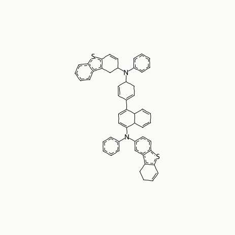 C1=CC2C(C3=CCC(N(c4ccccc4)C4C=Cc5sc6ccccc6c5C4)C=C3)=CC=C(N(c3ccccc3)c3ccc4sc5c(c4c3)CCC=C5)C2C=C1